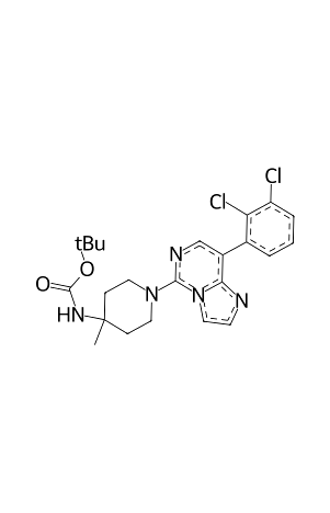 CC1(NC(=O)OC(C)(C)C)CCN(c2ncc(-c3cccc(Cl)c3Cl)c3nccn23)CC1